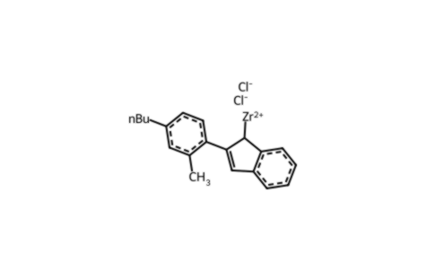 CCCCc1ccc(C2=Cc3ccccc3[CH]2[Zr+2])c(C)c1.[Cl-].[Cl-]